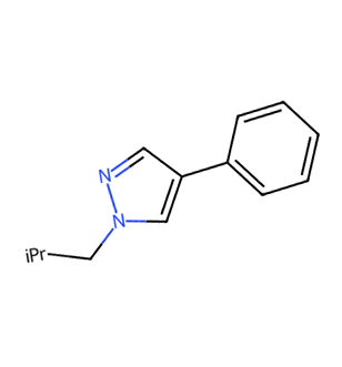 CC(C)Cn1cc(-c2ccccc2)cn1